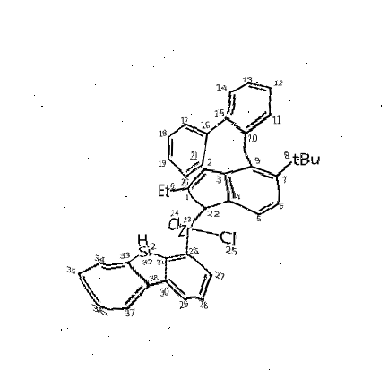 CCC1=Cc2c(ccc(C(C)(C)C)c2-c2ccccc2-c2ccccc2)[CH]1[Zr]([Cl])([Cl])[c]1cccc2c1[SiH2]c1ccccc1-2